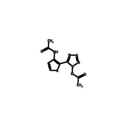 CC(=O)Nc1ccsc1-c1nnnn1OC(C)=O